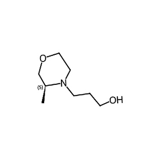 C[C@H]1COCCN1CCCO